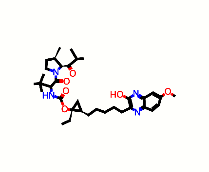 CC[C@@]1(OC(=O)NC(C(=O)N2CC[C@@H](C)[C@H]2C(=O)C(C)C)C(C)(C)C)C[C@H]1CCCCCc1nc2ccc(OC)cc2nc1O